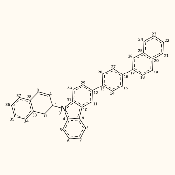 C1=CC(n2c3ccccc3c3cc(-c4ccc(-c5ccc6ccccc6c5)cc4)ccc32)Cc2ccccc21